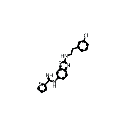 N=C(Nc1ccc2nc(NCCc3cccc(Cl)c3)sc2c1)c1cccs1